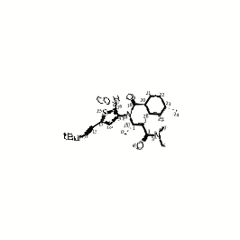 C[C@@H](CC(=O)N(C)C)N(c1cc(C#CC(C)(C)C)sc1C(=O)O)C(=O)[C@H]1CC[C@H](C)CC1